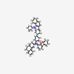 c1ccc(-n2c3cc(-c4ccc(N(c5ccc6ccc7ccccc7c6c5)c5cccc6c5oc5ccccc56)cc4)ccc3c3ccc4ccccc4c32)cc1